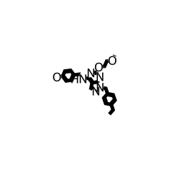 CCc1ccc(Cn2ncc3c(NCc4ccc(OC)cc4)nc(OCCOC)nc32)cc1